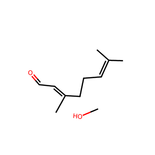 CC(C)=CCCC(C)=CC=O.CO